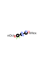 CCCCCCCCOc1ccc(-c2cnc(-c3ccc(OCCCCCC)nc3)nc2)c(F)c1F